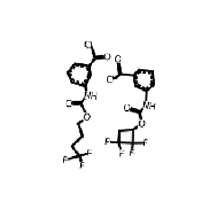 O=C(Nc1cccc(C(=O)Cl)c1)OC1CC(F)(F)C1(F)F.O=C(Nc1cccc(C(=O)Cl)c1)OCCCC(F)(F)F